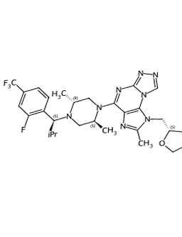 Cc1nc2c(N3C[C@@H](C)N([C@H](c4ccc(C(F)(F)F)cc4F)C(C)C)C[C@@H]3C)nc3nncn3c2n1C[C@@H]1CCCO1